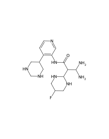 NC(N)C(C(=O)Nc1cnccc1C1CNCNC1)C1NCC(F)CN1